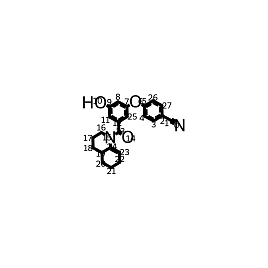 N#Cc1ccc(Oc2cc(O)cc(C(=O)N3CCCC4CCCC=C43)c2)cc1